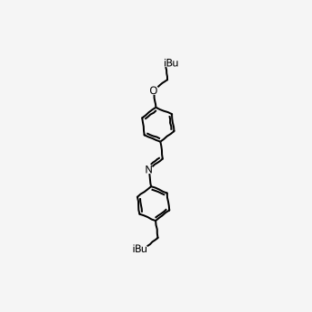 CCC(C)COc1ccc(C=Nc2ccc(CC(C)CC)cc2)cc1